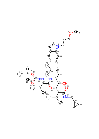 COCCCn1ccc2ccc(C[C@H](C[C@H](NC(=O)[C@@H](NC(=O)OC(C)(C)C)C(C)C)[C@H](O)C[C@H](C(=O)NCC3CC3)C(C)C)C(C)C)cc21